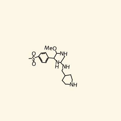 COC1NCC(NCC2CCNCC2)NC1c1ccc(S(C)(=O)=O)cc1